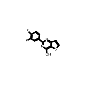 Oc1nc(-c2ccc(F)c(F)c2)nc2ccsc12